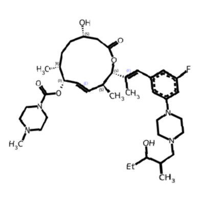 CCC(O)C(C)CN1CCN(c2cc(F)cc(/C=C(\C)[C@H]3OC(=O)C[C@@H](O)CC[C@@H](C)[C@@H](OC(=O)N4CCN(C)CC4)/C=C/[C@@H]3C)c2)CC1